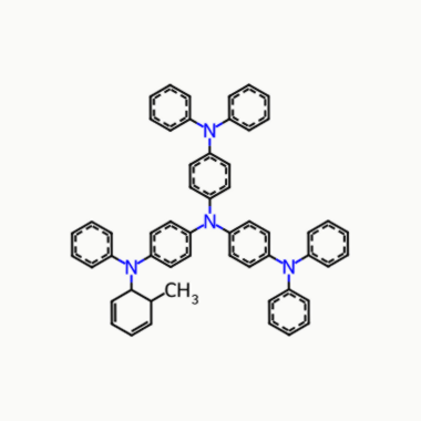 CC1C=CC=CC1N(c1ccccc1)c1ccc(N(c2ccc(N(c3ccccc3)c3ccccc3)cc2)c2ccc(N(c3ccccc3)c3ccccc3)cc2)cc1